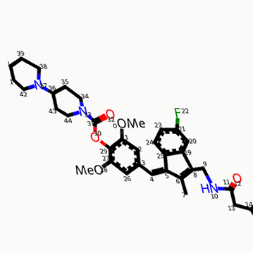 COc1cc(/C=C2/C(C)=C(CNC(=O)Cc3ccno3)c3cc(F)ccc32)cc(OC)c1OC(=O)N1CCC(N2CCCCC2)CC1